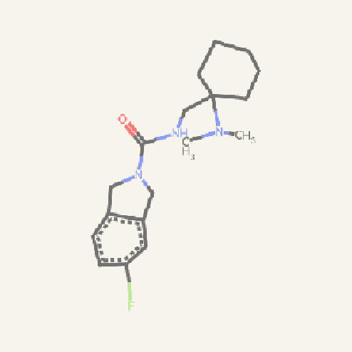 CN(C)C1(CNC(=O)N2Cc3ccc(F)cc3C2)CCCCC1